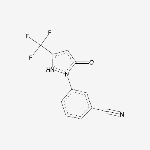 N#Cc1cccc(-n2[nH]c(C(F)(F)F)cc2=O)c1